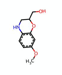 COc1ccc2c(c1)OC(CO)CN2